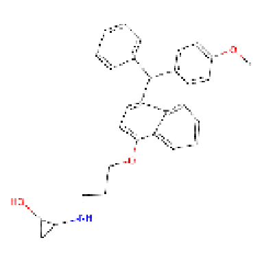 COc1ccc(C(c2ccccc2)c2ccc(OCCCNC3CC3O)c3ccccc23)cc1